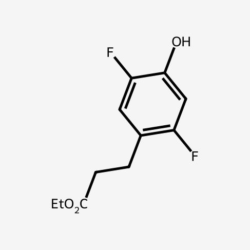 CCOC(=O)CCc1cc(F)c(O)cc1F